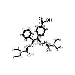 CCN(CC)/C(S)=N/N=C(/C(=N/N=C(\S)N(CC)CC)c1ccc(C(=O)O)cc1)c1ccccc1